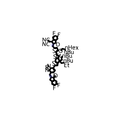 CCCCCCC(CCCC)COc1cc(/C=C2\C(=O)c3cc(F)c(F)cc3C2=C(C#N)C#N)sc1-c1cc2c(s1)-c1sc(-c3ccc(/C=C4/Cc5cc(F)c(F)cc5C4=O)c4nsnc34)cc1C2(CC(CC)CCCC)CC(CC)CCCC